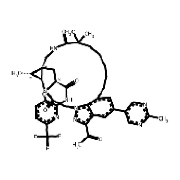 CC(=O)c1nn2c3c(cc(-c4cnc(C)nc4)cc13)CCCCCC(C)(C)C(=O)NC[C@@]13C[C@@H](C(=O)Nc4nc(C(F)(F)F)ccc4C)N(C(=O)C2)C1[C@@H]3C